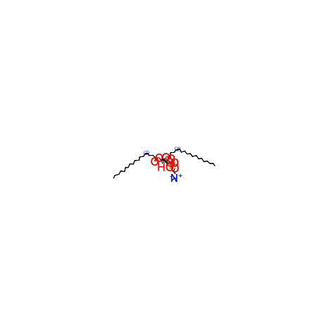 CCCCCCCCCCCCC/C=C\CCC(=O)OC[C@H](COP(=O)(O)OCC[N+](C)(C)C)OC(=O)CC/C=C\CCCCCCCCCCCCC